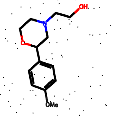 COc1ccc(C2CN(CCO)CCO2)cc1